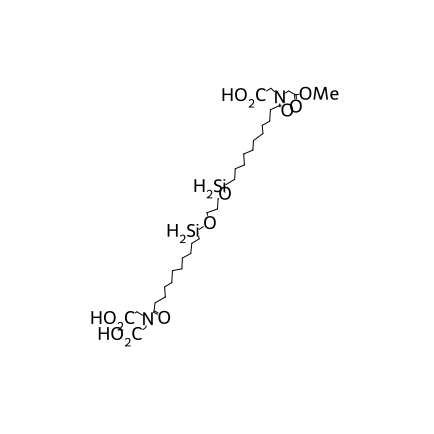 COC(=O)CN(CC(=O)O)C(=O)CCCCCCCCCC[SiH2]OCCCO[SiH2]CCCCCCCCCCC(=O)N(CC(=O)O)CC(=O)O